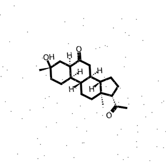 CC(=O)[C@H]1CC[C@H]2[C@@H]3CC(=O)[C@@H]4C[C@@](C)(O)CC[C@@H]4[C@H]3CC[C@]12C